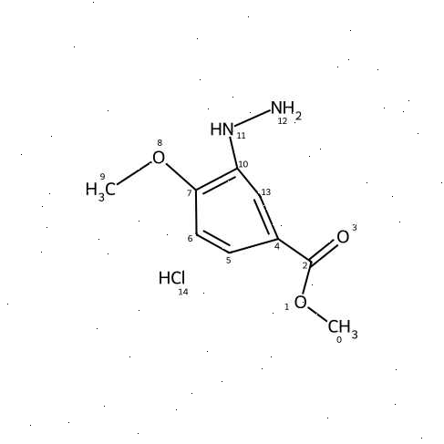 COC(=O)c1ccc(OC)c(NN)c1.Cl